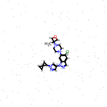 CC1(N2CCN(c3cc4c(cnn4-c4cnn(C5CC56CC6)c4)cc3Cl)CC2)COC1